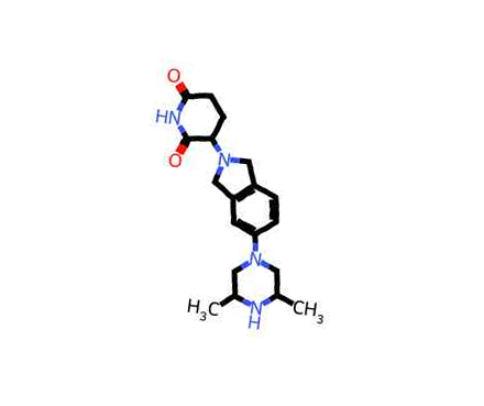 CC1CN(c2ccc3c(c2)CN(C2CCC(=O)NC2=O)C3)CC(C)N1